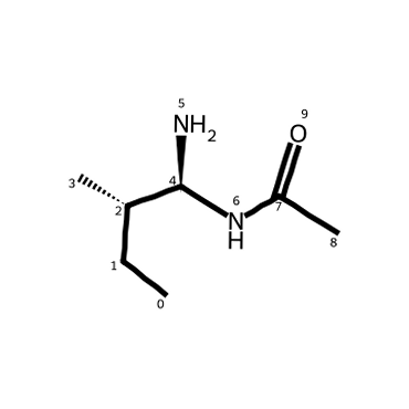 CC[C@H](C)[C@@H](N)NC(C)=O